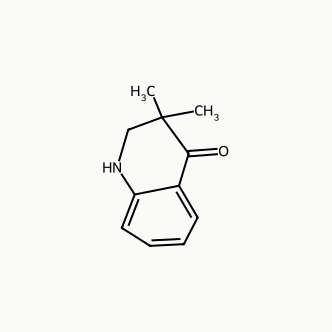 CC1(C)CNc2ccccc2C1=O